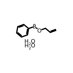 C=CCO[B]c1ccccc1.O.O